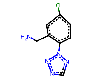 NCc1cc(Cl)ccc1-n1ncnn1